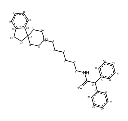 O=C(NCCCCCCN1CCC2(CCc3ccccc32)CC1)C(c1ccccc1)c1ccccc1